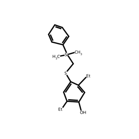 CCc1cc(SC[Si](C)(C)c2ccccc2)c(CC)cc1O